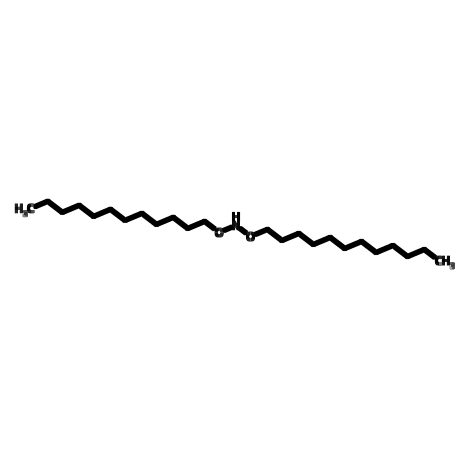 CCCCCCCCCCCCONOCCCCCCCCCCCC